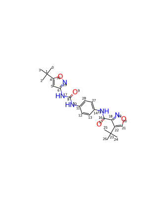 CC(C)(C)c1cc(NC(=O)Nc2ccc(NC(=O)c3nocc3C(C)(C)C)cc2)no1